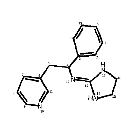 c1ccc(C(Cc2cccnc2)N=C2NCCN2)cc1